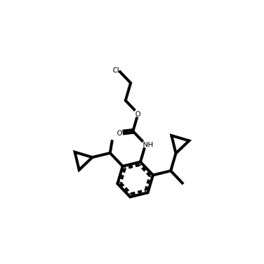 CC(c1cccc(C(C)C2CC2)c1NC(=O)OCCCl)C1CC1